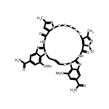 CCn1nc(C)c2c1C(=O)Nc1nc3cc(C(N)=O)cc(OC)c3n1C/C=C/Cn1c(nc3cc(C(N)=O)cc(OC)c31)NC(=O)c1cc(C)nn1CCCCC2